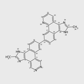 Cc1nc2c3cnncc3c3cc(-c4ccc5c(c4)c4ncccc4c4nc(C)[nH]c54)ccc3c2[nH]1